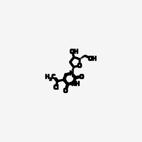 C=C(Cl)c1cn([C@@H]2CC(O)[C@H](CO)O2)c(=O)[nH]c1=O